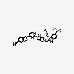 COCCn1c(CN2Cc3cn(-c4nccc(OCc5ccc(C#N)cc5F)n4)nc3C2)nc2ccc(C(=O)OC)cc21